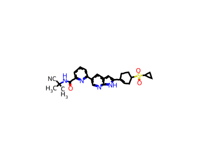 CC(C)(C#N)NC(=O)c1cccc(-c2cnc3[nH]c(C4=CCC(S(=O)(=O)C5CC5)CC4)cc3c2)n1